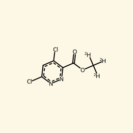 [2H]C([2H])([2H])OC(=O)c1nnc(Cl)cc1Cl